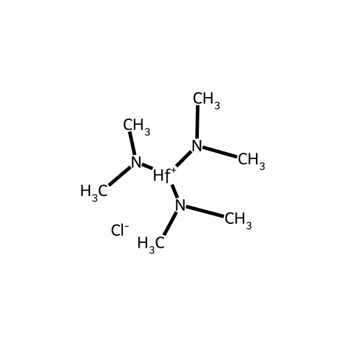 C[N](C)[Hf+]([N](C)C)[N](C)C.[Cl-]